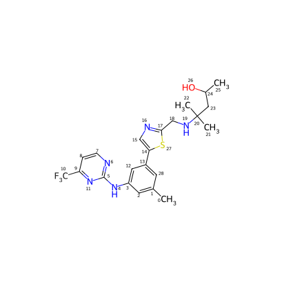 Cc1cc(Nc2nccc(C(F)(F)F)n2)cc(-c2cnc(CNC(C)(C)CC(C)O)s2)c1